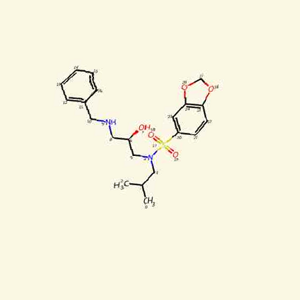 CC(C)CN(C[C@H](O)CNCc1ccccc1)S(=O)(=O)c1ccc2c(c1)OCO2